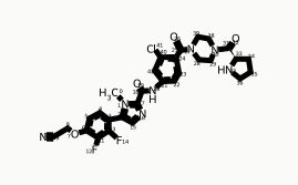 Cn1c(-c2ccc(OCC#N)c(F)c2F)cnc1C(=O)Nc1ccc(C(=O)N2CCN(C(=O)[C@@H]3CCCN3)CC2)c(Cl)c1